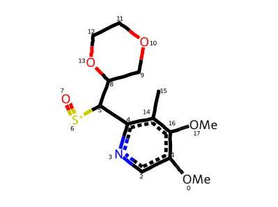 COc1cnc(C([S+]=O)C2COCCO2)c(C)c1OC